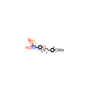 COc1ccc(CCCOc2ccc(CCC(N)(CO)CO[PH2]=O)cc2C(F)(F)F)cc1C